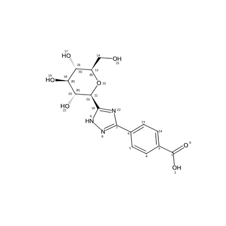 O=C(O)c1ccc(-c2n[nH]c([C@@H]3O[C@H](CO)[C@@H](O)[C@H](O)[C@H]3O)n2)cc1